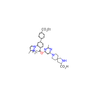 CCOC(=O)c1ccc(-c2ccc([C@@H](Oc3cc(N4CCC5(CC4)CNC(C(=O)O)C5)nc(C)n3)C(F)(F)F)c(-n3ccc(C)n3)c2)cc1